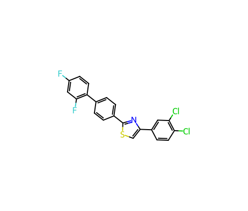 Fc1ccc(-c2ccc(-c3nc(-c4ccc(Cl)c(Cl)c4)cs3)cc2)c(F)c1